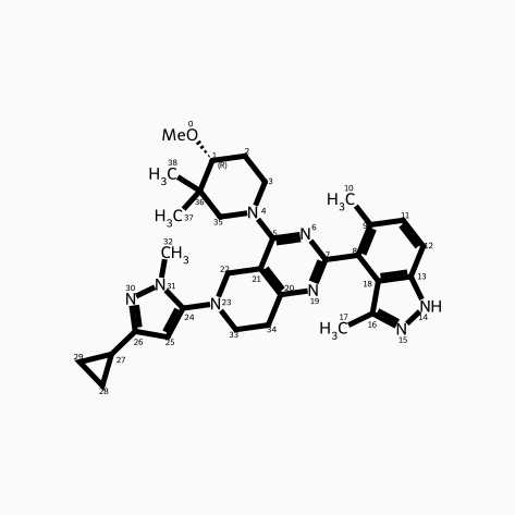 CO[C@@H]1CCN(c2nc(-c3c(C)ccc4[nH]nc(C)c34)nc3c2CN(c2cc(C4CC4)nn2C)CC3)CC1(C)C